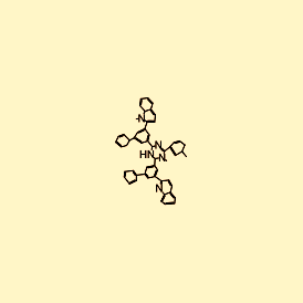 CC1C=C(C2=NC(c3cc(C4=CC=C5C=CC=CC5N4C)cc(C4C=CC=CC4)c3)NC(c3cc(-c4ccccc4)cc(-c4ccc5ccccc5n4)c3)N2C)C=CC1